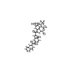 COC(=O)c1c(C(F)(F)F)[nH]c2c(O)cc3c(c12)C(CCl)CN3C(=O)c1cc2cc(NC(=O)c3ccc4ccccc4c3)ccc2[nH]1